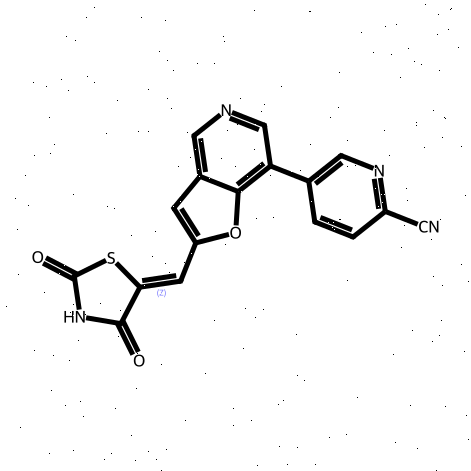 N#Cc1ccc(-c2cncc3cc(/C=C4\SC(=O)NC4=O)oc23)cn1